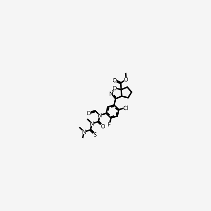 COC(=O)C12CCCC1C(c1cc(N(C=O)C(=O)N(C)C(=S)N(C)C)c(F)cc1Cl)=NO2